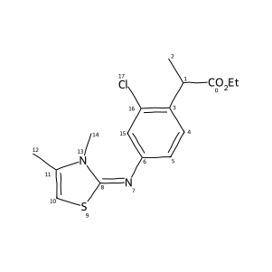 CCOC(=O)C(C)c1ccc(N=c2scc(C)n2C)cc1Cl